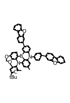 Cc1cc2c3c(c1)N(c1c(C)cc(C(C)(C)C)cc1C)c1c(ccc4c1OCO4)B3c1cc(-c3ccc4c(c3)oc3ccccc34)ccc1N2c1ccc(-c2ccc3c(c2)oc2ccccc23)cc1